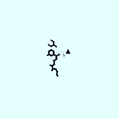 C=C/C=c1/sc(-c2cc(C(=O)NS(=O)(=O)C3CC3)c3c(O[C@H](C)C4CCOCC4)ccc(C)c3n2)c(C)c1=C